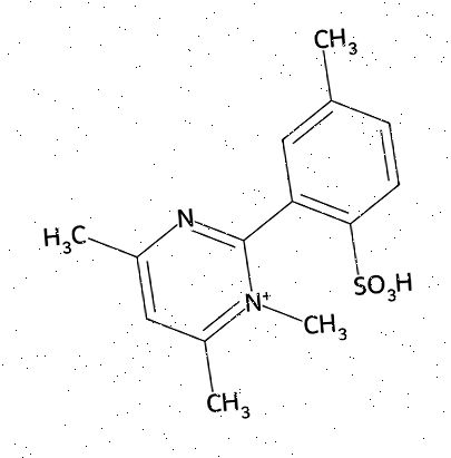 Cc1ccc(S(=O)(=O)O)c(-c2nc(C)cc(C)[n+]2C)c1